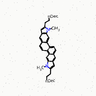 CCCCCCCCCCCCc1cc2cc3ccc4c5cc6c(cc(CCCCCCCCCCCC)n6C)cc5ccc4c3cc2n1C